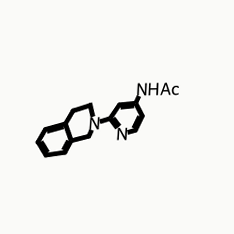 CC(=O)Nc1ccnc(N2CCc3ccccc3C2)c1